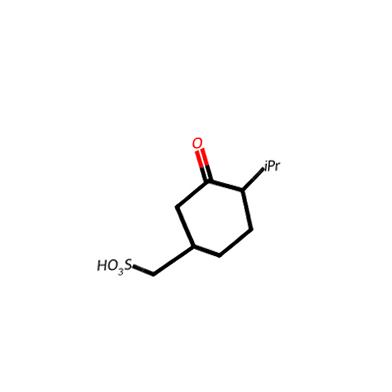 CC(C)C1CCC(CS(=O)(=O)O)CC1=O